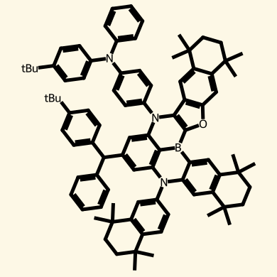 CC(C)(C)c1ccc(C(c2ccccc2)c2cc3c4c(c2)N(c2ccc(N(c5ccccc5)c5ccc(C(C)(C)C)cc5)cc2)c2c(oc5cc6c(cc25)C(C)(C)CCC6(C)C)B4c2cc4c(cc2N3c2ccc3c(c2)C(C)(C)CCC3(C)C)C(C)(C)CCC4(C)C)cc1